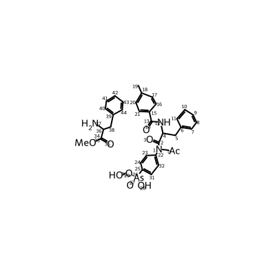 CC(=O)N(C(=O)C(Cc1ccccc1)NC(=O)c1ccc(C)cc1)c1ccc([As](=O)(O)OO)cc1.COC(=O)C(N)Cc1ccccc1